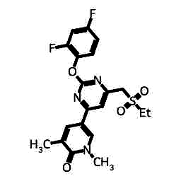 CCS(=O)(=O)Cc1cc(-c2cc(C)c(=O)n(C)c2)nc(Oc2ccc(F)cc2F)n1